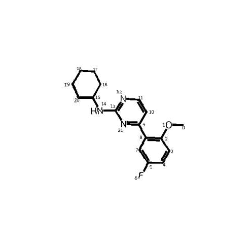 COc1ccc(F)cc1-c1ccnc(NC2CCCCC2)n1